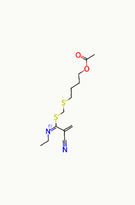 C=C(C#N)/C(=N\CC)SCSCCCCOC(C)=O